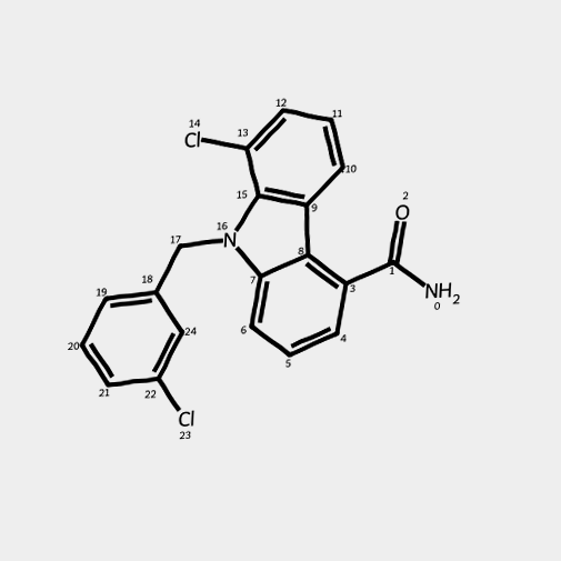 NC(=O)c1cccc2c1c1[c]ccc(Cl)c1n2Cc1cccc(Cl)c1